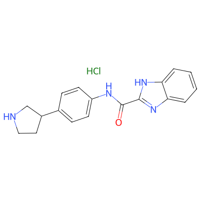 Cl.O=C(Nc1ccc(C2CCNC2)cc1)c1nc2ccccc2[nH]1